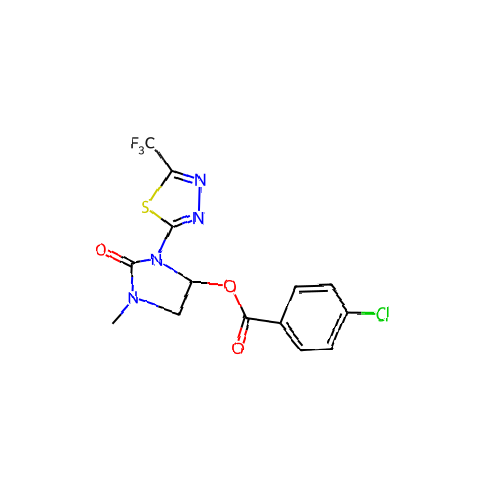 CN1CC(OC(=O)c2ccc(Cl)cc2)N(c2nnc(C(F)(F)F)s2)C1=O